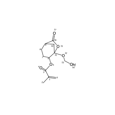 C=C(C)C(=O)OC1CCC2CC1(OCO)OC2=O